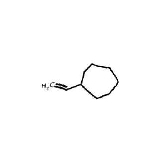 C=CC1CCCCCC1